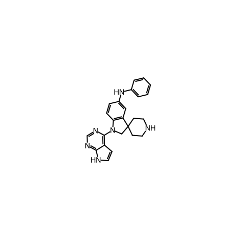 c1ccc(Nc2ccc3c(c2)C2(CCNCC2)CN3c2ncnc3[nH]ccc23)cc1